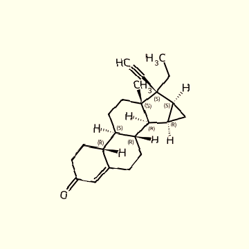 C#C[C@@]1(CC)[C@H]2C[C@H]2[C@H]2[C@@H]3CCC4=CC(=O)CC[C@@H]4[C@H]3CC[C@@]21C